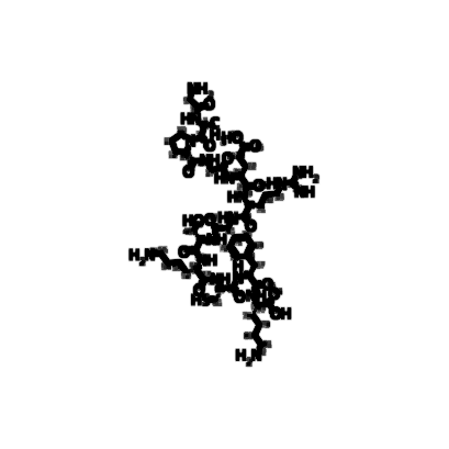 C[C@H](NC(=O)CN)C(=O)N1CCC[C@H]1C(=O)NCC(=O)N[C@@H](CCC(=O)O)C(=O)N[C@@H](CCCNC(=N)N)C(=O)NCC(=O)N[C@@H](CO)C(=O)N[C@@H](CCCCN)C(=O)N[C@@H](CS)C(=O)N[C@@H](Cc1ccccc1)C(=O)N[C@@H](CCCCN)C(=O)O